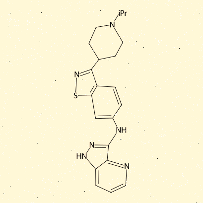 CC(C)N1CCC(c2nsc3cc(Nc4n[nH]c5cccnc45)ccc23)CC1